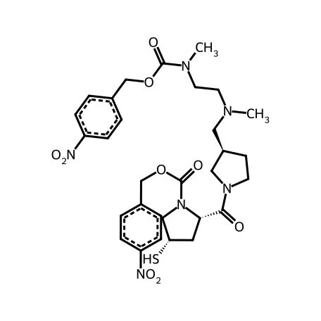 CN(CCN(C)C(=O)OCc1ccc([N+](=O)[O-])cc1)C[C@H]1CCN(C(=O)[C@@H]2C[C@H](S)CN2C(=O)OCc2ccc([N+](=O)[O-])cc2)C1